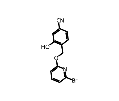 N#Cc1ccc(COc2cccc(Br)n2)c(O)c1